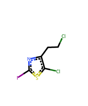 ClCCc1nc(I)sc1Cl